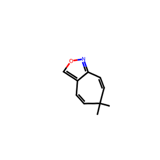 CC1(C)C=Cc2conc2C=C1